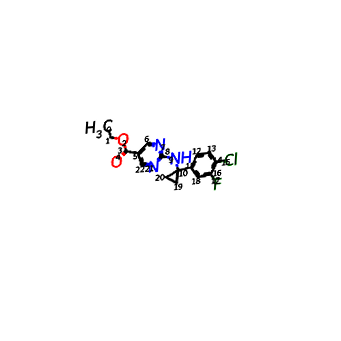 CCOC(=O)c1cnc(NC2(c3ccc(Cl)c(F)c3)CC2)nc1